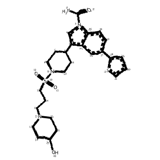 NC(=O)n1cc(C2CCN(S(=O)(=O)CCCN3CCC(O)CC3)CC2)c2cc(-c3cccs3)ccc21